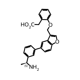 C[C@H](N)c1cccc(-c2ccc3occ(COc4ccccc4CC(=O)O)c3c2)c1